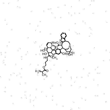 CCC1(O)CC2CN(CCc3c([nH]c4ccccc34)C(C(=O)OC)C2c2cc3c(cc2OC)N(C)C2C34CCN3CC=C[C@](CC)(C34)[C@@H](O)[C@]2(O)C(=O)NCCCOC(=O)C(C)N)C1